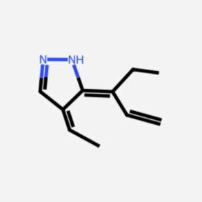 C=C/C(CC)=c1/[nH]nc/c1=C/C